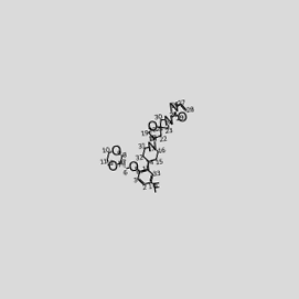 Fc1ccc(OC[C@H]2COCCO2)c(C2CCN([C@@H]3COC4(C3)CN(c3ncco3)C4)CC2)c1